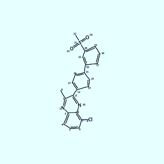 Cc1nc2cccc(Cl)c2nc1-c1ccc(-c2cccc(S(C)(=O)=O)c2)cc1